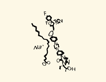 CCCCCCCC/C=C\CCCCCCCC(=O)[O-].CC[C@@H]([C@H](C)O)n1ncn(-c2ccc(N3CCN(c4ccc(OCC5CO[C@@](Cn6cncn6)(c6ccc(F)cc6F)C5)cc4)CC3)cc2)c1=O.[Na+]